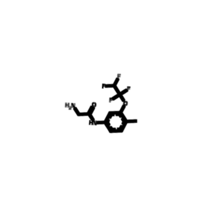 Cc1ccc(NC(=O)CN)cc1OC(F)(F)C(F)F